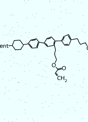 C=CC(=O)OCCCc1cc(-c2ccc(C3CCC(CCCCC)CC3)cc2)ccc1-c1ccc(CCCO)cc1